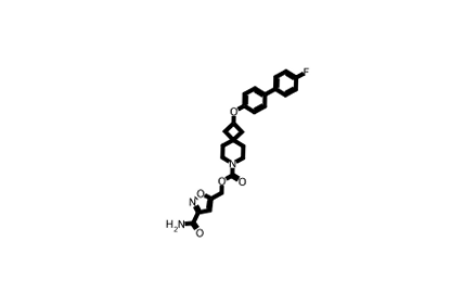 NC(=O)c1cc(COC(=O)N2CCC3(CC2)CC(Oc2ccc(-c4ccc(F)cc4)cc2)C3)on1